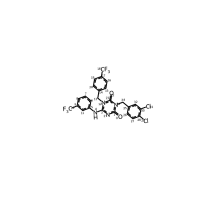 O=c1nc(Nc2cccc(C(F)(F)F)c2)n(Cc2ccc(C(F)(F)F)cc2)c(=O)n1Cc1ccc(Cl)c(Cl)c1